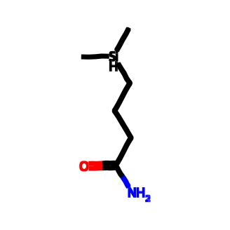 C[SiH](C)CCCC(N)=O